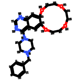 c1ccc(CN2CCN(c3ncnc4cc5c(cc34)OCCOCCOCCO5)CC2)cc1